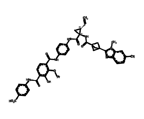 C=C[C@H]1C[C@@]1(NC(=O)C12CC(c3nc4ccc(C#N)cc4n3C)(C1)C2)C(=O)Nc1ccc(NC(=O)c2ccc(C(=O)Nc3ccc(C(=O)O)cc3)c(O)c2OC(C)C)cc1